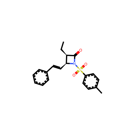 CC[C@H]1C(=O)N(S(=O)(=O)c2ccc(C)cc2)[C@H]1C=Cc1ccccc1